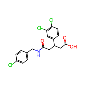 O=C(O)CC(CC(=O)NCc1ccc(Cl)cc1)c1ccc(Cl)c(Cl)c1